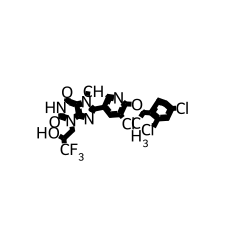 CC(Oc1ncc(-c2nc3c(c(=O)[nH]c(=O)n3CC(O)C(F)(F)F)n2C)cc1Cl)c1ccc(Cl)cc1Cl